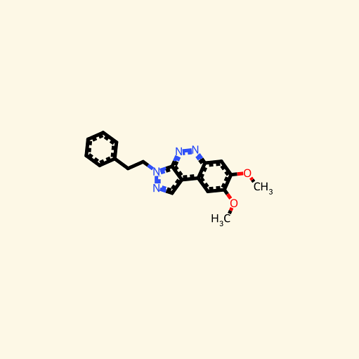 COc1cc2nnc3c(cnn3CCc3ccccc3)c2cc1OC